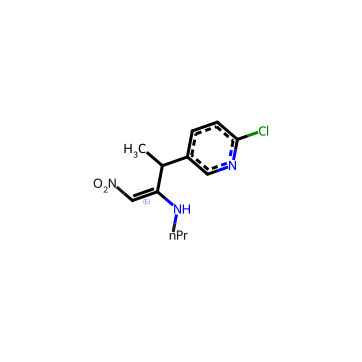 CCCN/C(=C/[N+](=O)[O-])C(C)c1ccc(Cl)nc1